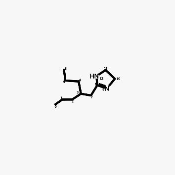 CCCC(CCC)CC1=NCCN1